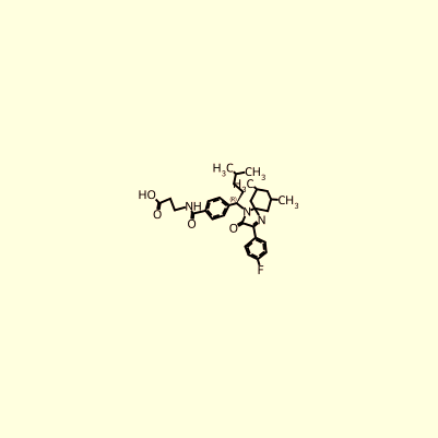 CC(C)CC[C@H](c1ccc(C(=O)NCCC(=O)O)cc1)N1C(=O)C(c2ccc(F)cc2)=NC12CC(C)CC(C)C2